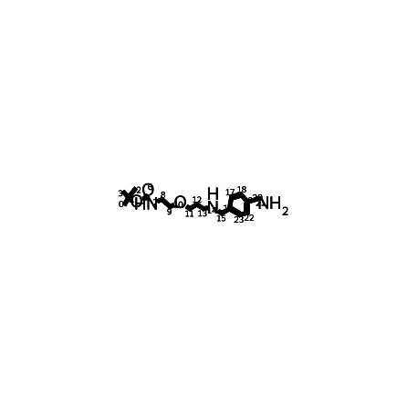 CC(C)(C)OC(=O)NCCOCCCNCc1ccc(CN)cc1